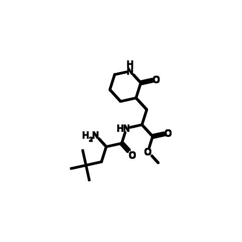 COC(=O)C(CC1CCCNC1=O)NC(=O)C(N)CC(C)(C)C